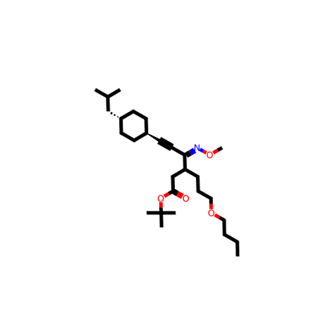 CCCCOCCCC(CC(=O)OC(C)(C)C)C(C#C[C@H]1CC[C@H](CC(C)C)CC1)=NOC